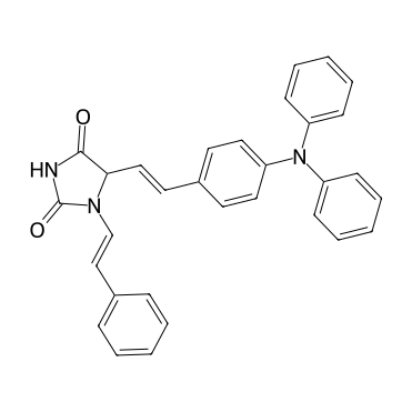 O=C1NC(=O)N(C=Cc2ccccc2)C1C=Cc1ccc(N(c2ccccc2)c2ccccc2)cc1